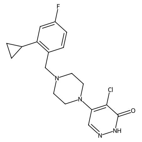 O=c1[nH]ncc(N2CCN(Cc3ccc(F)cc3C3CC3)CC2)c1Cl